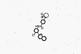 O=C(Nc1ccc(Cl)c(-c2ccc3ccccc3n2)c1)c1ccc(N2CCCCS2(=O)=O)cc1